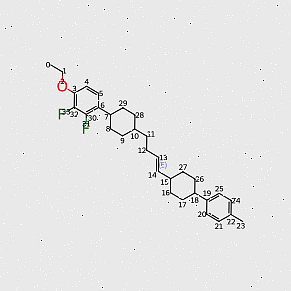 CCOc1ccc(C2CCC(CC/C=C/C3CCC(c4ccc(C)cc4)CC3)CC2)c(F)c1F